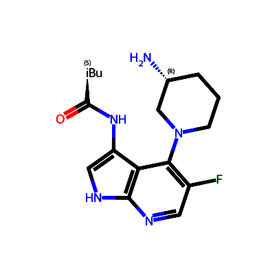 CC[C@H](C)C(=O)Nc1c[nH]c2ncc(F)c(N3CCC[C@@H](N)C3)c12